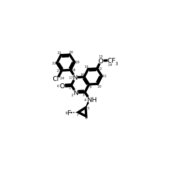 O=c1nc(N[C@H]2C[C@@H]2F)c2ccc(OC(F)(F)F)cc2n1-c1ccccc1Cl